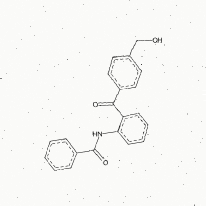 O=C(Nc1ccccc1C(=O)c1ccc(CO)cc1)c1ccccc1